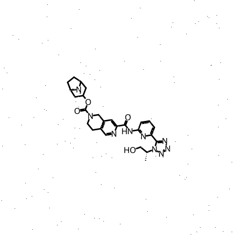 C[C@H](CO)n1nnnc1-c1cccc(NC(=O)c2cc3c(cn2)CCN(C(=O)OC2CC4CCC(C2)N4C)C3)n1